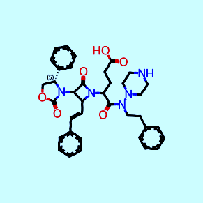 O=C(O)CCC(C(=O)N(CCc1ccccc1)N1CCNCC1)N1C(=O)C(N2C(=O)OC[C@@H]2c2ccccc2)C1C=Cc1ccccc1